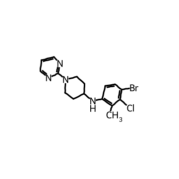 Cc1c(NC2CCN(c3ncccn3)CC2)ccc(Br)c1Cl